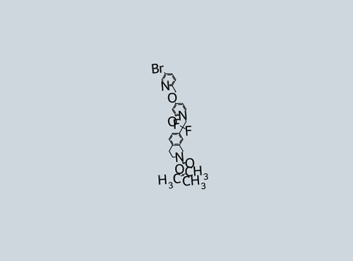 CC(C)(C)OC(=O)N1CCc2ccc(C(F)(F)Cn3ccc(OCc4ccc(Br)cn4)cc3=O)cc2C1